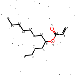 C=CC(=O)OC(CCCC)CCCCCCC